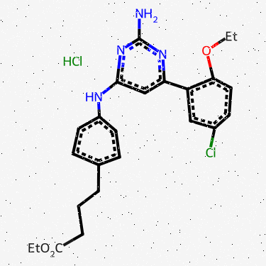 CCOC(=O)CCCc1ccc(Nc2cc(-c3cc(Cl)ccc3OCC)nc(N)n2)cc1.Cl